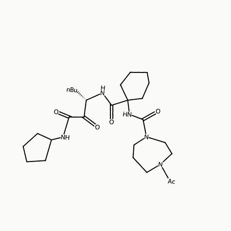 CCCC[C@H](NC(=O)C1(NC(=O)N2CCCN(C(C)=O)CC2)CCCCC1)C(=O)C(=O)NC1CCCC1